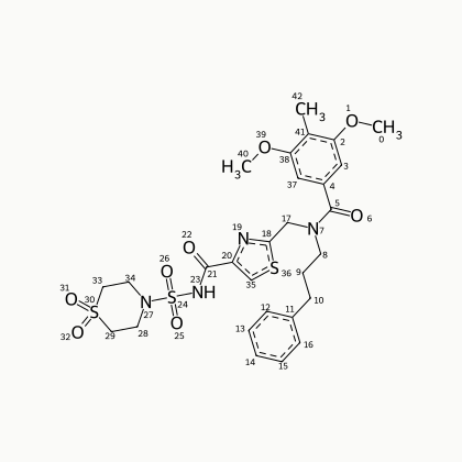 COc1cc(C(=O)N(CCCc2ccccc2)Cc2nc(C(=O)NS(=O)(=O)N3CCS(=O)(=O)CC3)cs2)cc(OC)c1C